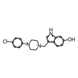 Oc1ccc2c(CN3CCN(c4ccc(Cl)cc4)CC3)c[nH]c2c1